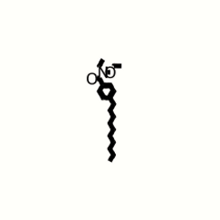 CCCCCCCCCCc1ccc(C(=O)N(CC)OCC)cc1